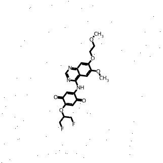 COCCOc1cc2ncnc(NC3=CC(=O)C(OC(CF)CF)=CC3=O)c2cc1OC